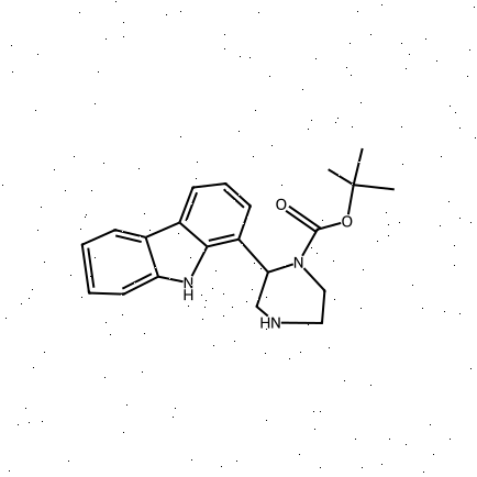 CC(C)(C)OC(=O)N1CCNCC1c1cccc2c1[nH]c1ccccc12